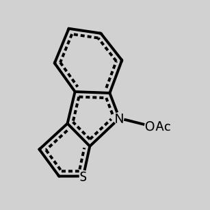 CC(=O)On1c2ccccc2c2ccsc21